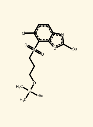 CC(C)(C)c1nc2ccc(Cl)c(S(=O)(=O)CCCO[Si](C)(C)C(C)(C)C)c2o1